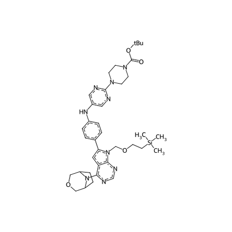 CC(C)(C)OC(=O)N1CCN(c2ncc(Nc3ccc(-c4cc5c(N6C7CCC6COC7)ncnc5n4COCC[Si](C)(C)C)cc3)cn2)CC1